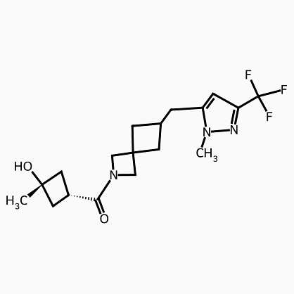 Cn1nc(C(F)(F)F)cc1CC1CC2(C1)CN(C(=O)[C@H]1C[C@@](C)(O)C1)C2